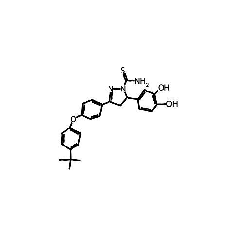 CC(C)(C)c1ccc(Oc2ccc(C3=NN(C(N)=S)C(c4ccc(O)c(O)c4)C3)cc2)cc1